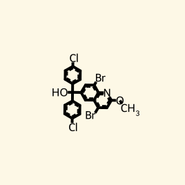 COc1cc(Br)c2cc(C(O)(c3ccc(Cl)cc3)c3ccc(Cl)cc3)cc(Br)c2n1